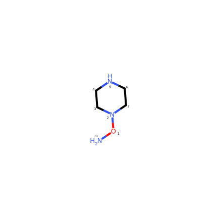 NON1CCNCC1